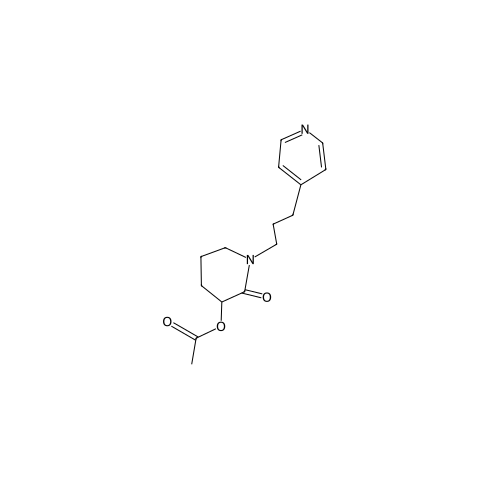 CC(=O)OC1CCCN(CCCc2ccncc2)C1=O